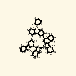 c1ccc(-n2c3ccccc3c3cc(-c4cc5c(c6ccccc46)c4ccccc4n5-c4nc(-c5cccc6c5sc5ccccc56)c5ccccc5n4)ccc32)cc1